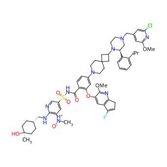 COc1cc(CN2CCN(C3CC4(CCN(c5ccc(C(=O)NS(=O)(=O)c6cnc(NC[C@H]7CC[C@](C)(O)CC7)c([NH+](C)[O-])c6)c(Oc6cc7c(nc6OC)CC=C7F)c5)CC4)C3)[C@H](c3ccccc3C(C)C)C2)cc(Cl)n1